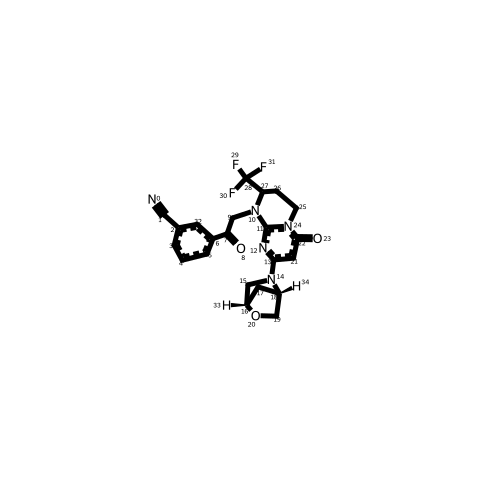 N#Cc1cccc(C(=O)CN2c3nc(N4C[C@@H]5C[C@H]4CO5)cc(=O)n3CCC2C(F)(F)F)c1